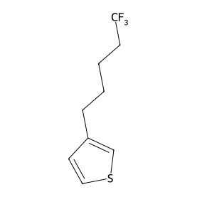 FC(F)(F)CCCCc1ccsc1